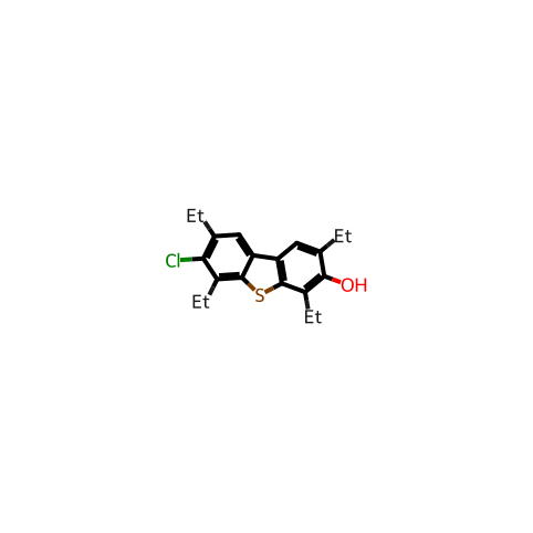 CCc1cc2c(sc3c(CC)c(Cl)c(CC)cc32)c(CC)c1O